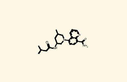 CC(C)CC(=O)NC1CC(C)CN(c2ccc(C(N)=O)c3ncccc23)C1